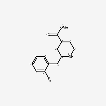 COC(=O)C1CCNC(Cc2ccccc2F)C1